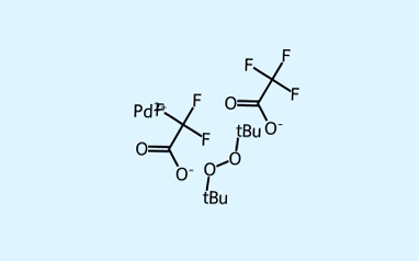 CC(C)(C)OOC(C)(C)C.O=C([O-])C(F)(F)F.O=C([O-])C(F)(F)F.[Pd+2]